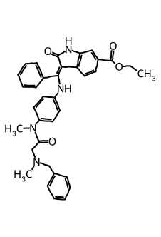 CCOC(=O)c1ccc2c(c1)NC(=O)C2=C(Nc1ccc(N(C)C(=O)CN(C)Cc2ccccc2)cc1)c1ccccc1